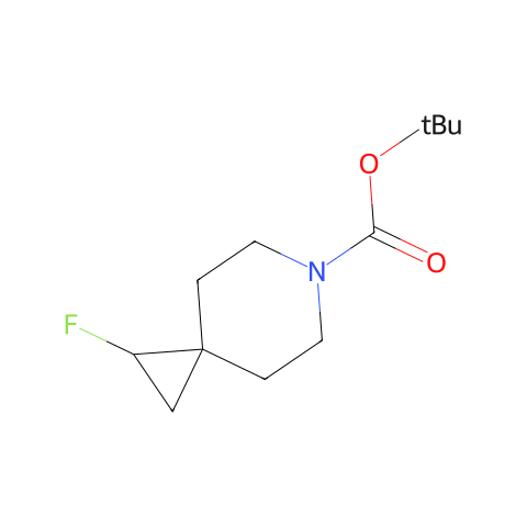 CC(C)(C)OC(=O)N1CCC2(CC1)CC2F